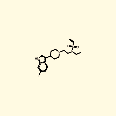 C=CS(=O)(=O)N(CC)CCN1CCC(c2c[nH]c3cc(F)ccc23)CC1